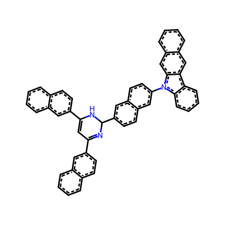 C1=C(c2ccc3ccccc3c2)NC(c2ccc3cc(-n4c5ccccc5c5cc6ccccc6cc54)ccc3c2)N=C1c1ccc2ccccc2c1